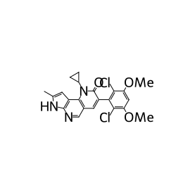 COc1cc(OC)c(Cl)c(-c2cc3cnc4[nH]c(C)cc4c3n(C3CC3)c2=O)c1Cl